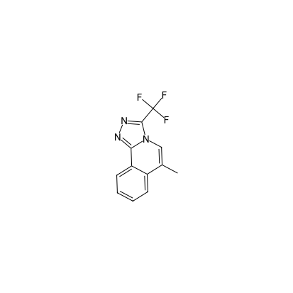 Cc1cn2c(C(F)(F)F)nnc2c2ccccc12